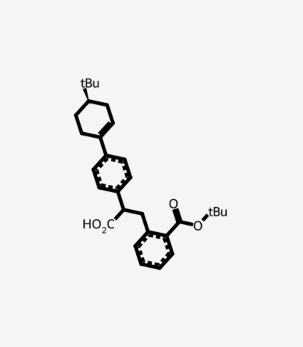 CC(C)(C)OC(=O)c1ccccc1CC(C(=O)O)c1ccc(C2=CC[C@H](C(C)(C)C)CC2)cc1